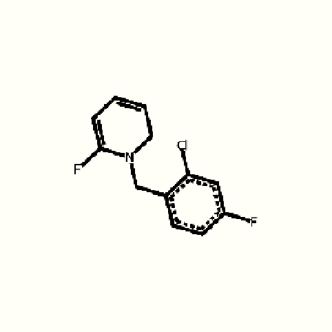 FC1=CC=CCN1Cc1ccc(F)cc1Cl